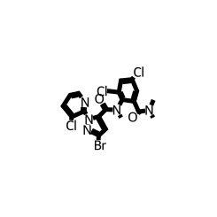 CN(C)C(=O)c1cc(Cl)cc(Cl)c1N(C)C(=O)c1cc(Br)nn1-c1ncccc1Cl